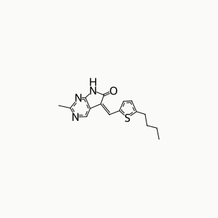 CCCCc1ccc(C=C2C(=O)Nc3nc(C)ncc32)s1